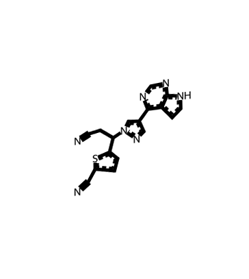 N#CCC(c1ccc(C#N)s1)n1cc(-c2ncnc3[nH]ccc23)cn1